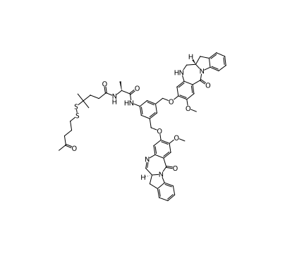 COc1cc2c(cc1OCc1cc(COc3cc4c(cc3OC)C(=O)N3c5ccccc5C[C@H]3CN4)cc(NC(=O)[C@H](C)NC(=O)CCC(C)(C)SSCCCC(C)=O)c1)N=C[C@@H]1Cc3ccccc3N1C2=O